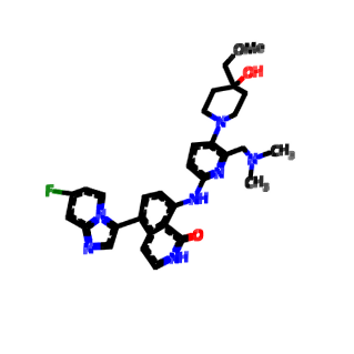 COCC1(O)CCN(c2ccc(Nc3ccc(-c4cnc5cc(F)ccn45)c4cc[nH]c(=O)c34)nc2CN(C)C)CC1